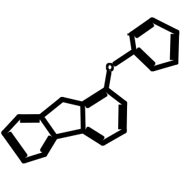 [c]1ccccc1Oc1cccc2c1Cc1ccccc1-2